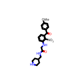 COc1ccc(C(=O)c2cccc(NCC(=O)NCC3CCNCC3)c2[N+](=O)[O-])cc1